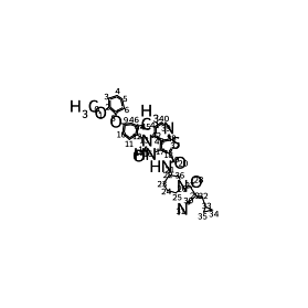 COc1ccccc1Oc1ccc(N2C(=O)Nc3c(C(=O)NC4CCCN(C(=O)C(C#N)=CC5CC5)C4)sc4nccc2c34)c(C)c1